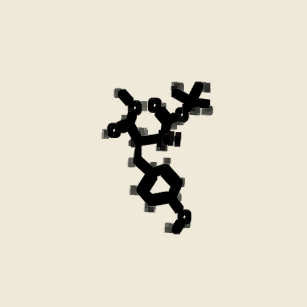 COC(=O)[C@H](Cc1ccc(OC)cc1)NC(=O)OC(C)(C)C